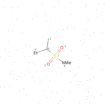 [CH2]NS(=O)(=O)C(C)CC